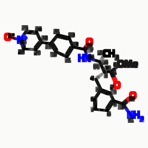 COC(=O)[C@H](Cc1cccc(C(N)=O)c1)[C@@H](C)NC(=O)c1ccc(-c2cc[n+]([O-])cc2)cc1